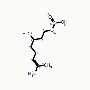 CC(C)=CCCC(C)CCO[Si](=O)O